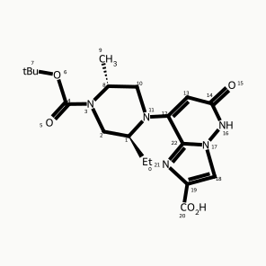 CC[C@H]1CN(C(=O)OC(C)(C)C)[C@H](C)CN1c1cc(=O)[nH]n2cc(C(=O)O)nc12